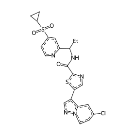 CCC(NC(=O)c1ncc(-c2cnn3ccc(Cl)cc23)s1)c1cc(S(=O)(=O)C2CC2)ccn1